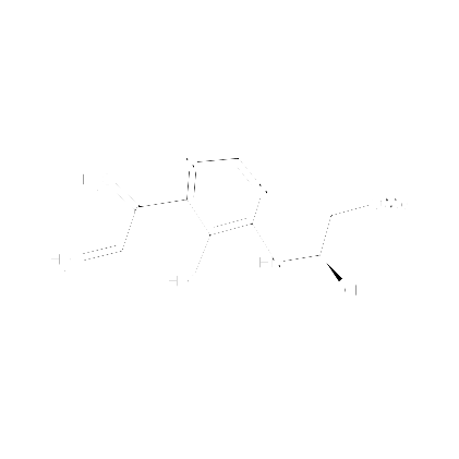 C=CC(=C)c1ncnc(N[C@H](C)COC)c1C